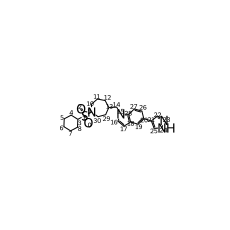 O=S(=O)(C1CCCCC1)N1CCCC(Cn2ccc3cc(-c4cn[nH]c4)ccc32)CC1